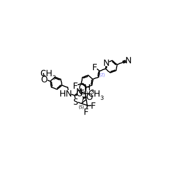 COC(=O)[C@@]12SC(NCc3ccc(OC)cc3)=N[C@](C)(c3cc(/C=C(\F)c4ccc(C#N)cn4)ccc3F)C1C2(F)F